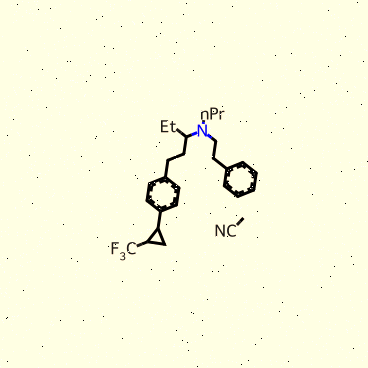 CC#N.CCCN(CCc1ccccc1)C(CC)CCc1ccc(C2CC2C(F)(F)F)cc1